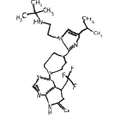 CC(C)c1cn(CCNC(C)(C)C)c(C2CCN(c3ncnc4c3C(C(F)(F)F)CC(=O)N4)CC2)n1